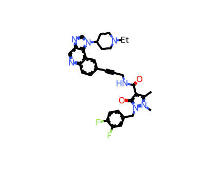 CCN1CCC(n2cnc3cnc4ccc(C#CCNC(=O)c5c(C)n(C)n(Cc6ccc(F)c(F)c6)c5=O)cc4c32)CC1